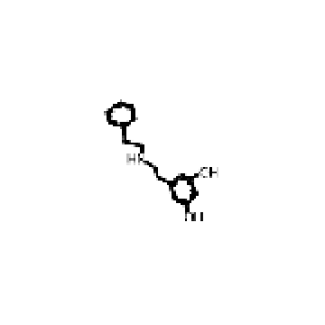 Oc1cc(O)cc(CCNCCc2ccccc2)c1